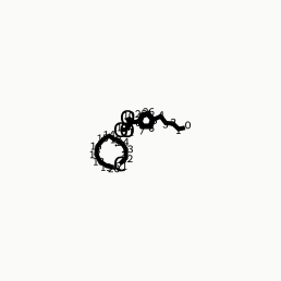 CCCCCc1ccc(C(=O)OO[C]2CCCCCCCCCCC2)cc1